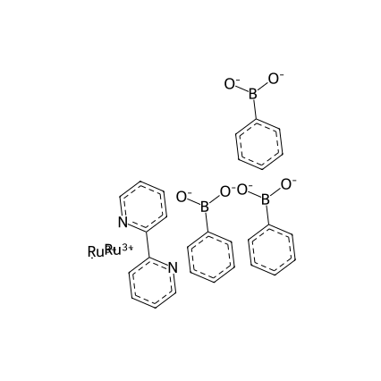 [O-]B([O-])c1ccccc1.[O-]B([O-])c1ccccc1.[O-]B([O-])c1ccccc1.[Ru+3].[Ru+3].c1ccc(-c2ccccn2)nc1